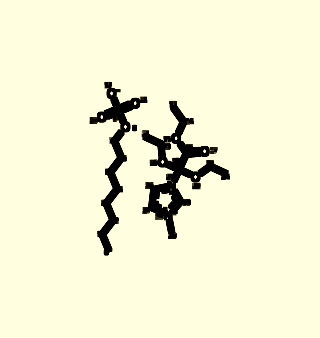 CCCCCCCCOS(=O)(=O)[O-].CCOC(=O)C(OCC)(OCC)n1cc[n+](C)c1